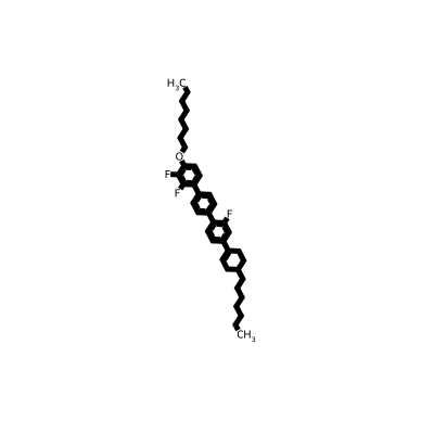 CCCCCCCCOc1ccc(-c2ccc(-c3ccc(C4=CCC(CCCCCCC)CC4)cc3F)cc2)c(F)c1F